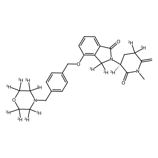 [2H]C1([2H])C[C@]([2H])(N2C(=O)c3cccc(OCc4ccc(CN5C([2H])([2H])C([2H])([2H])OC([2H])([2H])C5([2H])[2H])cc4)c3C2([2H])[2H])C(=O)N(C)C1=C